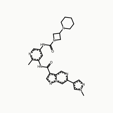 Cc1ncc(NC(=O)N2CC(N3CCCCC3)C2)cc1NC(=O)c1cnn2cc(-c3cnn(C)c3)ncc12